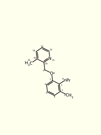 CCCc1c(C)cccc1OCc1ncccc1C